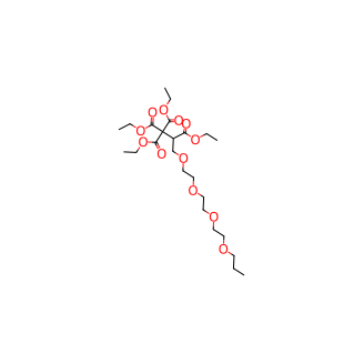 CCCOCCOCCOCCOCC(C(=O)OCC)C(C(=O)OCC)(C(=O)OCC)C(=O)OCC